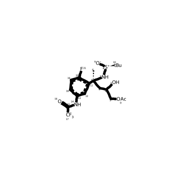 CC(=O)OCC(O)C[C@](C)(N[S@+]([O-])C(C)(C)C)c1cc(NC(=O)C(F)(F)F)ccc1F